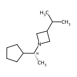 CC(C)C1CN([C@H](C)C2CCCC2)C1